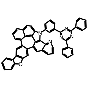 c1ccc(-c2nc(-c3ccccc3)nc(-c3cccc(-n4c5ccc6cccc7c6c5c5c(cc6cccnc6c54)-c4cc5oc6ccccc6c5cc4-7)c3)n2)cc1